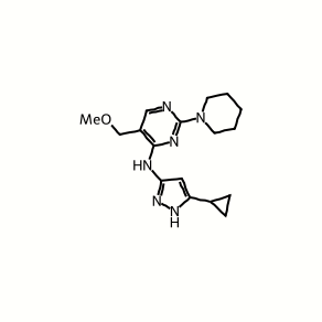 COCc1cnc(N2CCCCC2)nc1Nc1cc(C2CC2)[nH]n1